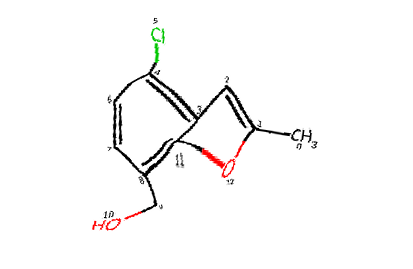 Cc1cc2c(Cl)ccc(CO)c2o1